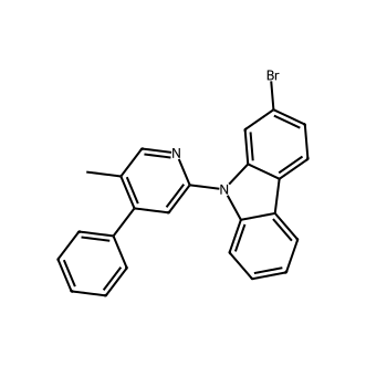 Cc1cnc(-n2c3ccccc3c3ccc(Br)cc32)cc1-c1ccccc1